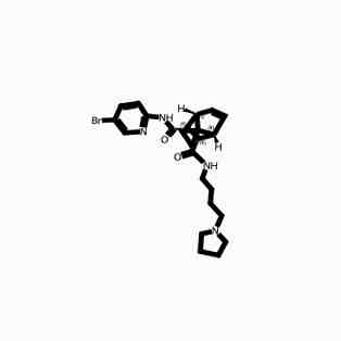 O=C(NCCCCN1CCCC1)[C@H]1[C@H](C(=O)Nc2ccc(Br)cn2)[C@@H]2C=C[C@H]1C21CC1